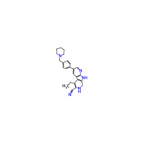 CCC1=C(C#N)NCc2[nH]c3ncc(-c4ccc(CN5CCCCC5)cc4)cc3c21